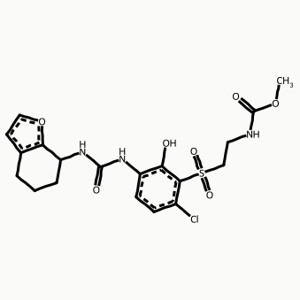 COC(=O)NCCS(=O)(=O)c1c(Cl)ccc(NC(=O)NC2CCCc3ccoc32)c1O